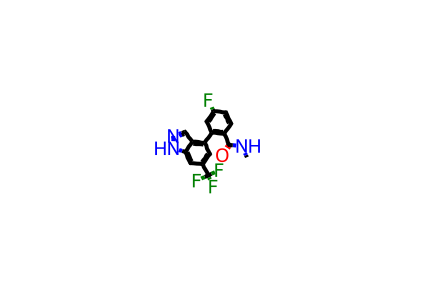 CNC(=O)c1ccc(F)cc1-c1cc(C(F)(F)F)cc2[nH]ncc12